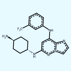 N[C@H]1CC[C@H](Nc2cc(Nc3cccc(C(F)(F)F)c3)c3nccn3n2)CC1